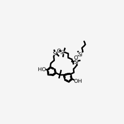 CCCC[Si](C)(C)O[Si](C)(C)CCCc1cc(C(C)(C)c2ccc(O)c(CCC[Si](C)(C)O[Si](C)(C)CCCC)c2)ccc1O